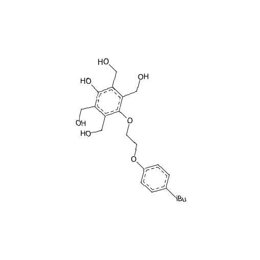 CCC(C)c1ccc(OCCOc2c(CO)c(CO)c(O)c(CO)c2CO)cc1